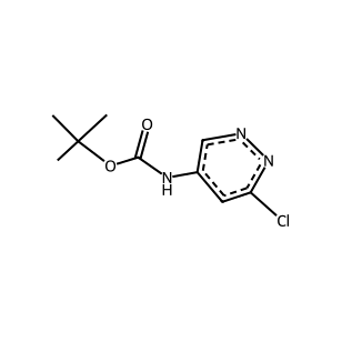 CC(C)(C)OC(=O)Nc1cnnc(Cl)c1